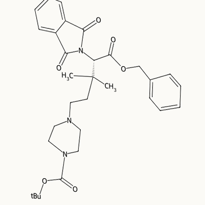 CC(C)(C)OC(=O)N1CCN(CCC(C)(C)[C@@H](C(=O)OCc2ccccc2)N2C(=O)c3ccccc3C2=O)CC1